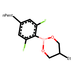 CCCCCc1cc(F)c(B2OCC(CC)CO2)c(F)c1